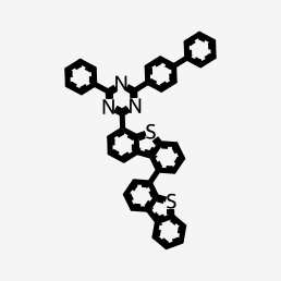 c1ccc(-c2ccc(-c3nc(-c4ccccc4)nc(-c4cccc5c4sc4cccc(-c6cccc7c6sc6ccccc67)c45)n3)cc2)cc1